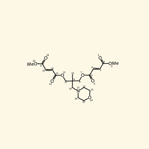 COC(=O)/C=C/C(=O)OCC(C)(COC(=O)/C=C/C(=O)OC)CN1CCOCC1